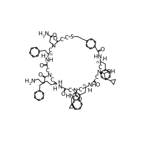 NCCCC[C@H]1CN(C(=O)CCc2ccccc2)CC(=O)N[C@@H](Cc2ccccc2)CN(CC(N)=O)C(=O)CCSCc2ccc(cc2)C(=O)N[C@@H](Cc2ccccc2)CN(C(O)CC2CC2)CC(=O)N[C@@H](Cc2c[nH]c3ccccc23)CN(C(=O)CC2CC2)CC(=O)N1